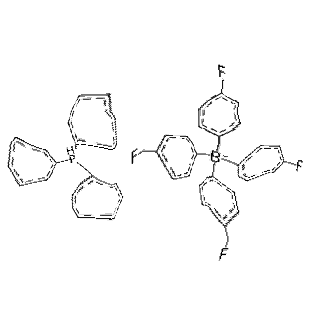 Fc1ccc([B-](c2ccc(F)cc2)(c2ccc(F)cc2)c2ccc(F)cc2)cc1.c1ccc([PH+](c2ccccc2)c2ccccc2)cc1